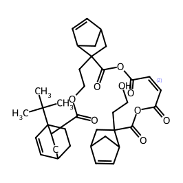 CC(C)(C)C12C=CC(CC1)CC2C(=O)OCCC1(C(=O)OC(=O)/C=C\C(=O)OC(=O)C2(CCO)CC3C=CC2C3)CC2C=CC1C2